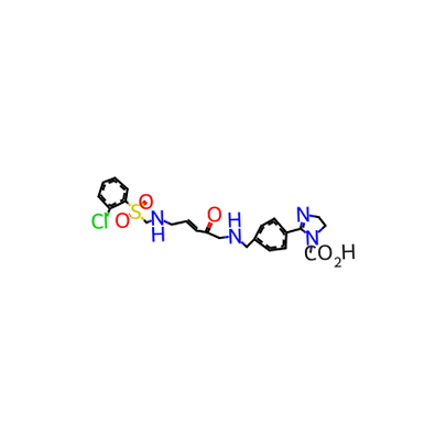 O=C(C=CCNCS(=O)(=O)c1ccccc1Cl)CNCc1ccc(C2=NCCN2C(=O)O)cc1